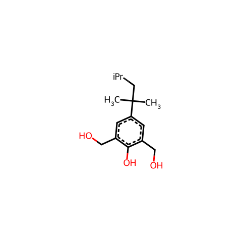 CC(C)CC(C)(C)c1cc(CO)c(O)c(CO)c1